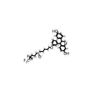 [O-][S+](CCCCCOc1cccc(C2c3ccc(O)cc3OCC2c2ccc(O)cc2)c1)CCCC(F)(F)C(F)(F)F